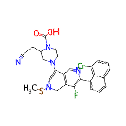 CSN1C=C(N2CCN(C(=O)O)C(CC#N)C2)c2cnc(-c3cccc4cccc(Cl)c34)c(F)c2C1